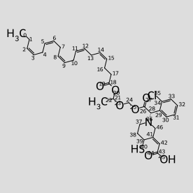 CC/C=C\C/C=C\C/C=C\C/C=C\C/C=C\CCC(=O)OC(C)OCOC(=O)[C@H](c1ccccc1Cl)N1CCC(S)/C(=C\C(=O)O)C1